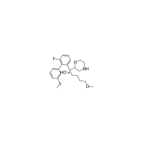 COCCCC[C@@](O)(c1cccc(F)c1-c1cccc(SC)c1)C1CNCCO1